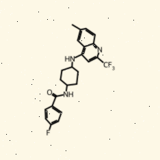 Cc1ccc2nc(C(F)(F)F)cc(NC3CCC(NC(=O)c4ccc(F)cc4)CC3)c2c1